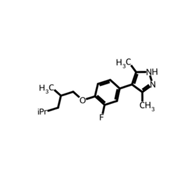 Cc1n[nH]c(C)c1-c1ccc(OCC(C)CC(C)C)c(F)c1